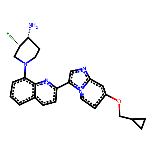 N[C@@H]1CCN(c2cccc3ccc(-c4cnc5cc(OCC6CC6)ccn45)nc23)C[C@@H]1F